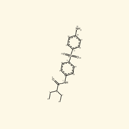 CCC(CC)C(=O)Nc1ccc(S(=O)(=O)c2ccc(N)cc2)cc1